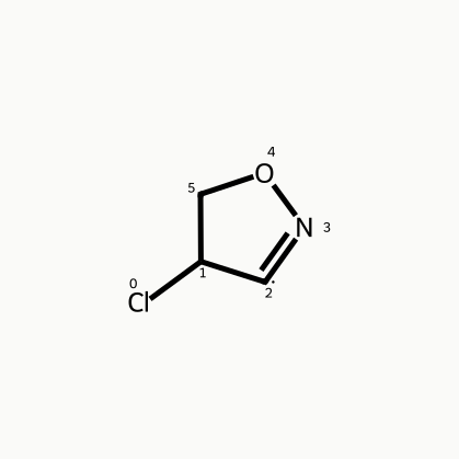 ClC1[C]=NOC1